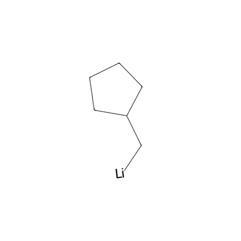 [Li][CH2]C1CCCC1